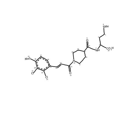 CSCCC(NC(=O)C1CCN(C(=O)/C=C/c2ccc(SC)c(Cl)c2Cl)CC1)C(=O)O